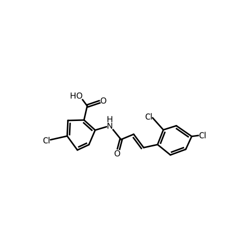 O=C(/C=C/c1ccc(Cl)cc1Cl)Nc1ccc(Cl)cc1C(=O)O